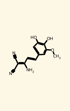 COc1cc(C=CC(N)=C(C#N)C#N)cc(O)c1O